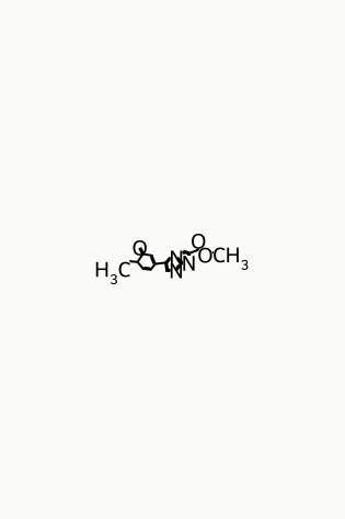 CCOC(=O)c1cn2cc(C3=CC(=O)C(CC)C=C3)cnc2n1